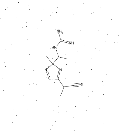 CC(C#N)C1=NC(C)(C(C)NC(=N)N)N=C1